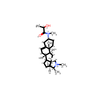 CC(C)C(O)C(=O)N(C)[C@H]1CC[C@@]2(C)C(=CC[C@H]3[C@@H]4CC[C@@H]5[C@H](C)N(C)C[C@@]54CC[C@@H]32)C1